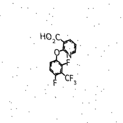 O=C(O)c1cccnc1Oc1ccc(F)c(C(F)(F)F)c1F